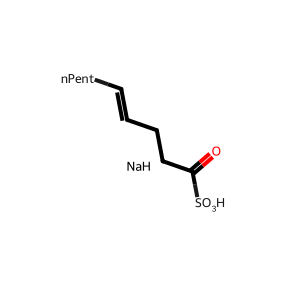 CCCCCC=CCCC(=O)S(=O)(=O)O.[NaH]